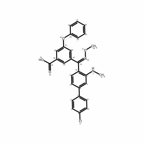 CNc1cc(-c2ccc(Cl)cc2)ccc1/C(=N/OC)c1cc(Oc2ccccc2)cc(C(=O)O)c1